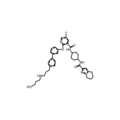 O=C(NC1CCC(NC(=O)c2cc(F)cnc2Oc2cccc(-c3ccc(CCCNCCCO)cc3)c2)CC1)c1cc2n(n1)CCCC2